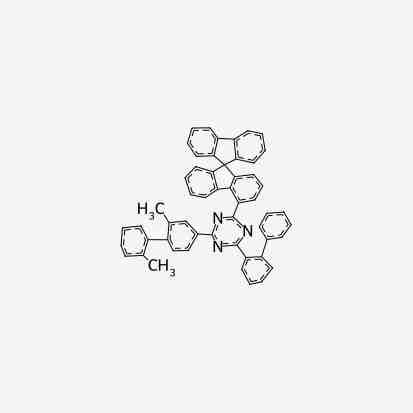 Cc1ccccc1-c1ccc(-c2nc(-c3ccccc3-c3ccccc3)nc(-c3cccc4c3-c3ccccc3C43c4ccccc4-c4ccccc43)n2)cc1C